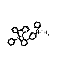 CN(c1ccccc1)c1ccc(-c2cccc3c2c2c4ccccc4c4ccccc4c2n3-c2ccccc2)cc1